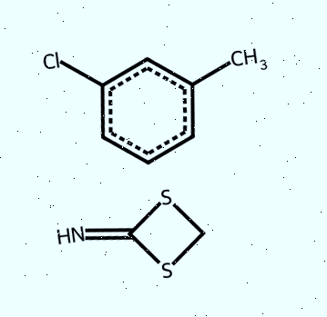 Cc1cccc(Cl)c1.N=C1SCS1